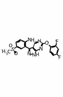 CS(=O)(=O)c1ccc(N)c(-c2n[nH]c3nc(Oc4ccc(F)cc4F)ncc23)c1